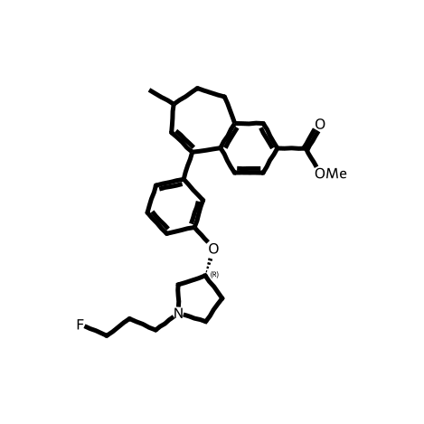 COC(=O)c1ccc2c(c1)CCC(C)C=C2c1cccc(O[C@@H]2CCN(CCCF)C2)c1